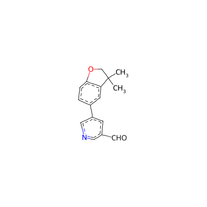 CC1(C)COc2ccc(-c3cncc(C=O)c3)cc21